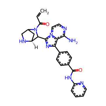 C=CC(=O)N1C2CN[C@@H](C2)C1c1nc(-c2ccc(C(=O)Nc3ccccn3)cc2)c2c(N)nccn12